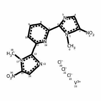 Cn1c([N+](=O)[O-])cnc1-c1cccc(-c2ncc([N+](=O)[O-])n2C)n1.[Cl-].[Cl-].[Cl-].[V+3]